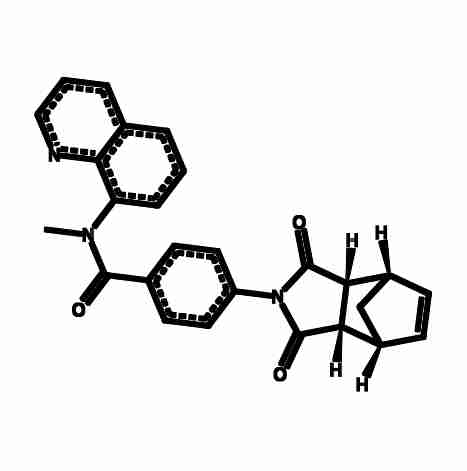 CN(C(=O)c1ccc(N2C(=O)[C@@H]3[C@H](C2=O)[C@@H]2C=C[C@H]3C2)cc1)c1cccc2cccnc12